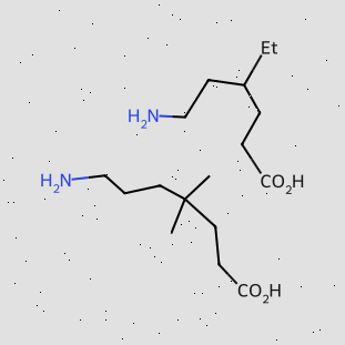 CC(C)(CCCN)CCC(=O)O.CCC(CCN)CCC(=O)O